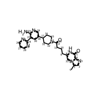 Cc1cnc2c(=O)[nH]c(CCCC(=O)N3CCC(c4cnc(N)c(-c5ncccn5)c4)CC3)cn12